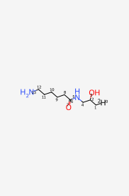 [2H]CC(O)CNC(=O)CCCCCN